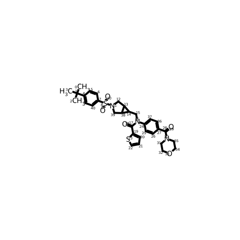 CC(C)(C)c1ccc(S(=O)(=O)N2CC3C(CN(C(=O)c4cccs4)c4ccc(C(=O)N5CCOCC5)cc4)C3C2)cc1